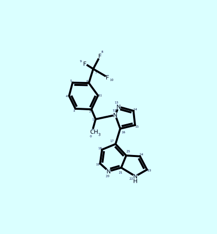 CC(c1cccc(C(F)(F)F)c1)n1nccc1-c1ccnc2[nH]ccc12